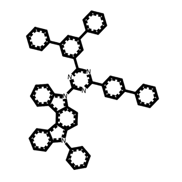 c1ccc(-c2ccc(-c3nc(-c4cc(-c5ccccc5)cc(-c5ccccc5)c4)nc(-n4c5ccccc5c5c6c7ccccc7n(-c7ccccc7)c6ccc54)n3)cc2)cc1